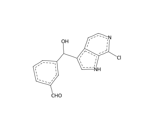 O=Cc1cccc(C(O)c2c[nH]c3c(Cl)nccc23)c1